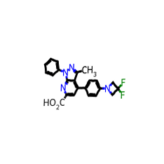 Cc1nn(-c2ccccc2)c2nc(C(=O)O)cc(-c3ccc(N4CC(F)(F)C4)cc3)c12